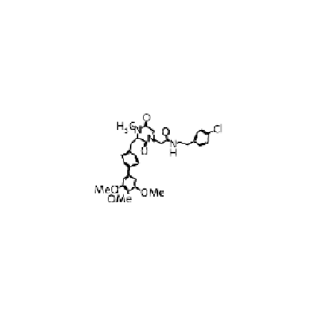 COc1cc(-c2ccc(CC3C(=O)N(CC(=O)NCCc4ccc(Cl)cc4)CC(=O)N3C)cc2)cc(OC)c1OC